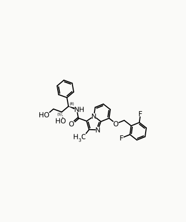 Cc1nc2c(OCc3c(F)cccc3F)cccn2c1C(=O)N[C@H](c1ccccc1)[C@H](O)CO